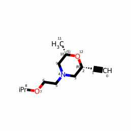 C#C[C@@H]1CN(CCOC(C)C)C[C@H](C)O1